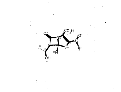 CC[S+]([O-])C1=C(C(=O)O)N2C(=O)[C@H]([C@@H](C)O)[C@H]2S1